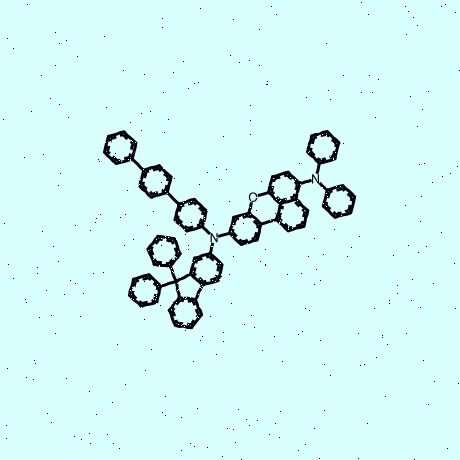 c1ccc(-c2ccc(-c3ccc(N(c4ccc5c(c4)Oc4ccc(N(c6ccccc6)c6ccccc6)c6cccc-5c46)c4ccc5c(c4)C(c4ccccc4)(c4ccccc4)c4ccccc4-5)cc3)cc2)cc1